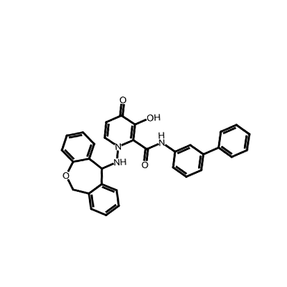 O=C(Nc1cccc(-c2ccccc2)c1)c1c(O)c(=O)ccn1NC1c2ccccc2COc2ccccc21